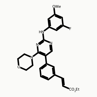 CCOC(=O)C=Cc1cccc(-c2cnc(Nc3cc(F)cc(OC)c3)nc2N2CCOCC2)c1